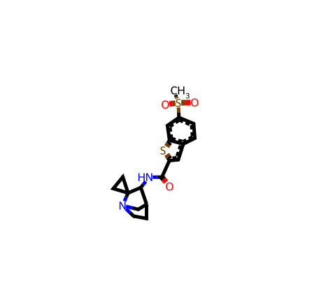 CS(=O)(=O)c1ccc2cc(C(=O)NC3C4CCN(C4)C34CC4)sc2c1